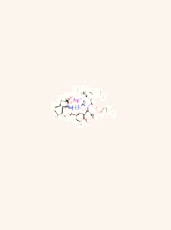 CCC1(CC)CC(=O)N([C@H]2c3cc(C(=O)N[C@@H]4c5ccccc5C[C@@]4(C)O)ccc3OC[C@H]2COC)C(=N)N1